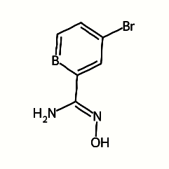 N/C(=N\O)c1bccc(Br)c1